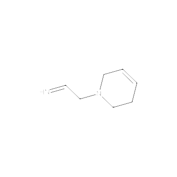 N=CCN1CC=CCC1